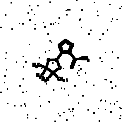 CC1(C)OB(c2ccoc2C(N)=O)OC1(C)C